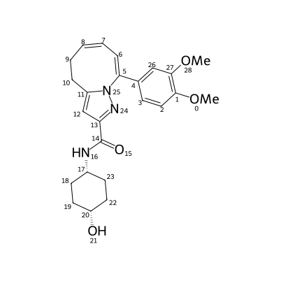 COc1ccc(/C2=C/C=C\CCc3cc(C(=O)N[C@H]4CC[C@@H](O)CC4)nn32)cc1OC